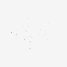 Cc1c(C(=O)O)cccc1C(=O)O.O=C(O)c1cc(-c2ccccc2)n(-c2ccc([N+](=O)[O-])cn2)c1